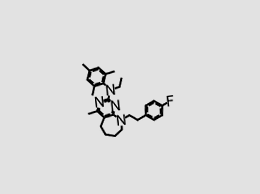 CCN(c1nc(C)c2c(n1)N(CCc1ccc(F)cc1)CCCC2)c1c(C)cc(C)cc1C